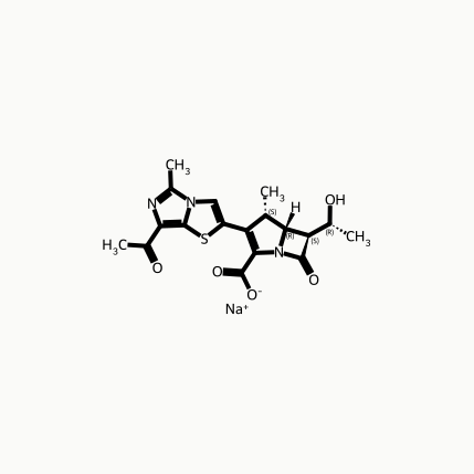 CC(=O)c1nc(C)n2cc(C3=C(C(=O)[O-])N4C(=O)[C@H]([C@@H](C)O)[C@H]4[C@H]3C)sc12.[Na+]